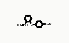 COc1ccc(Oc2ccccc2NN)cc1